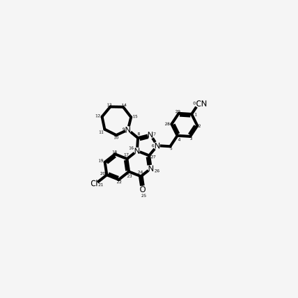 N#Cc1ccc(Cn2nc(N3CCCCCC3)n3c4ccc(Cl)cc4c(=O)nc23)cc1